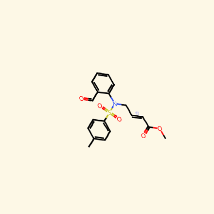 COC(=O)/C=C/CN(c1ccccc1C=O)S(=O)(=O)c1ccc(C)cc1